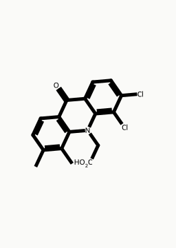 Cc1ccc2c(=O)c3ccc(Cl)c(Cl)c3n(CC(=O)O)c2c1C